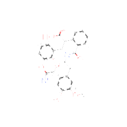 COc1ccc(CCN2C(=O)c3ccccc3C(C(=O)O)C2c2ccccc2OCC(N)=O)cc1OC